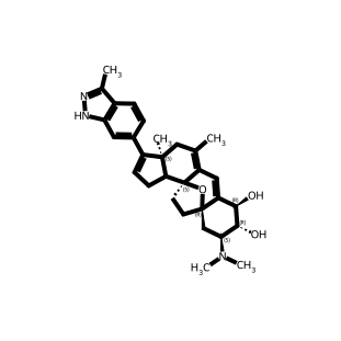 CC1=C2C=C3[C@@H](O)[C@H](O)[C@@H](N(C)C)C[C@]34CC[C@]2(O4)C2CC=C(c3ccc4c(C)n[nH]c4c3)[C@@]2(C)C1